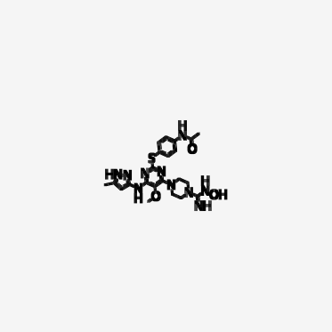 COc1c(Nc2cc(C)[nH]n2)nc(Sc2ccc(NC(C)=O)cc2)nc1N1CCN(C(=N)NO)CC1